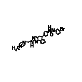 CN1CCN(CCCNc2ncc3c(n2)-c2ccccc2C(c2ccc(NC(=O)Nc4cccc(Br)c4)cc2)C3)CC1